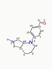 CN1CC2CCCN(c3ccc(C=O)cc3)C2C1